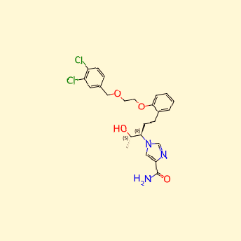 C[C@H](O)[C@@H](CCc1ccccc1OCCOCc1ccc(Cl)c(Cl)c1)n1cnc(C(N)=O)c1